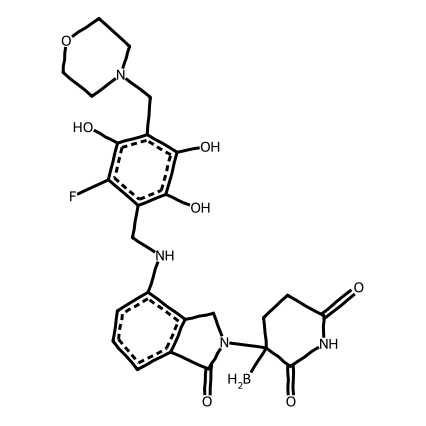 BC1(N2Cc3c(NCc4c(O)c(O)c(CN5CCOCC5)c(O)c4F)cccc3C2=O)CCC(=O)NC1=O